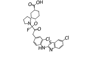 O=C(Cc1ccc(Nc2nc3ccc(Cl)cc3s2)c(Cl)c1)C(F)(O[C@H]1CC[C@H](C(=O)O)CC1)N1CCCC1